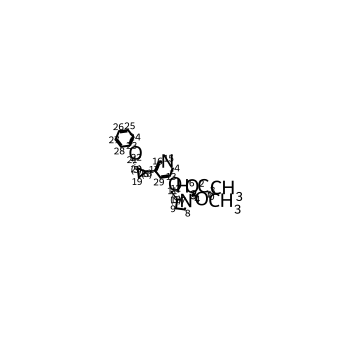 CC(C)(C)OC(=O)N1CC[C@H]1COc1cncc([C@H]2C[C@@H]2COc2ccccc2)c1